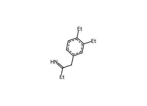 CCC(=N)Cc1ccc(CC)c(CC)c1